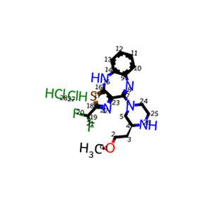 COCC[C@H]1CN(C2=Nc3ccccc3Nc3sc(C(F)F)nc32)CCN1.Cl.Cl